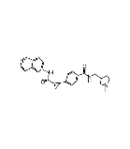 O=C(NCC1CCNC1)c1ccc(C2CC2C(=O)Nc2ccc3cnccc3c2)cc1